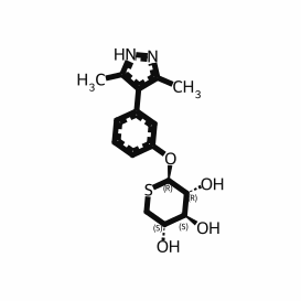 Cc1n[nH]c(C)c1-c1cccc(O[C@@H]2SC[C@@H](O)[C@H](O)[C@H]2O)c1